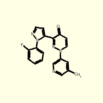 Cc1cncc(-n2ccc(=O)c(-c3ccnn3-c3ccccc3F)n2)c1